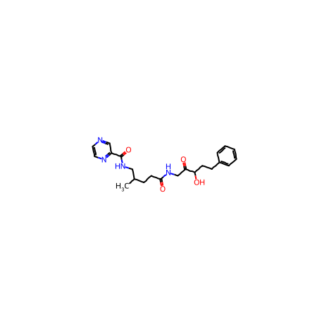 CC(CCC(=O)NCC(=O)C(O)CCc1ccccc1)CNC(=O)c1cnccn1